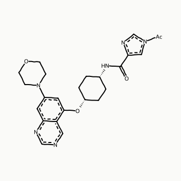 CC(=O)n1cnc(C(=O)N[C@H]2CC[C@@H](Oc3cc(N4CCOCC4)cc4ncncc34)CC2)c1